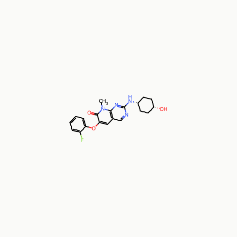 Cn1c(=O)c(Oc2ccccc2F)cc2cnc(N[C@H]3CC[C@@H](O)CC3)nc21